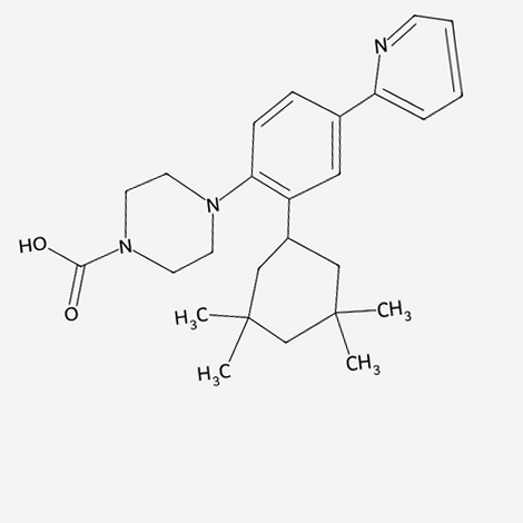 CC1(C)CC(c2cc(-c3ccccn3)ccc2N2CCN(C(=O)O)CC2)CC(C)(C)C1